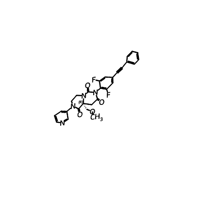 COC[C@@]12CC(=O)N(c3c(F)cc(C#Cc4ccccc4)cc3F)C(=O)N1CCN(c1cccnc1)C2=O